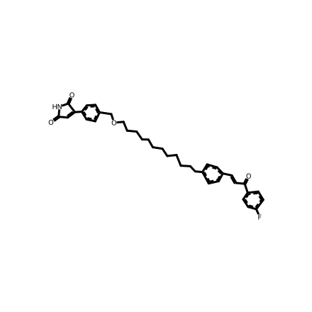 O=C1C=C(c2ccc(COCCCCCCCCCCCCc3ccc(C=CC(=O)c4ccc(F)cc4)cc3)cc2)C(=O)N1